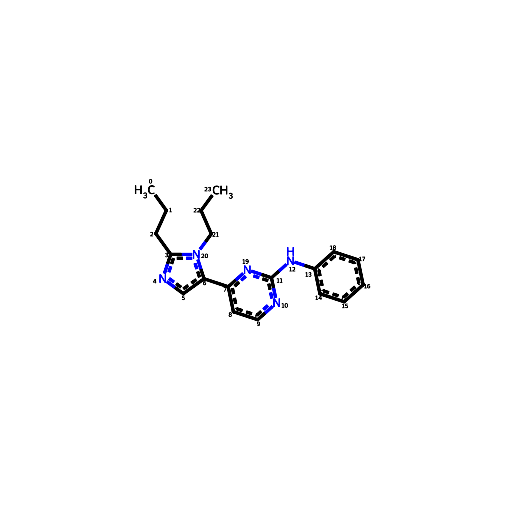 CCCc1ncc(-c2ccnc(Nc3ccccc3)n2)n1CCC